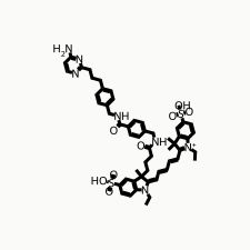 CCN1/C(=C/C=C/C=C/C2=[N+](CC)c3ccc(S(=O)(=O)O)cc3C2(C)C)C(C)(CCCC(=O)NCc2ccc(C(=O)NCc3ccc(CCCc4nccc(N)n4)cc3)cc2)c2cc(S(=O)(=O)O)ccc21